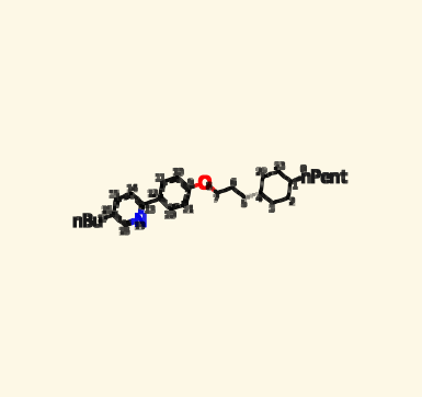 CCCCC[C@H]1CC[C@H](CCCOc2ccc(-c3ccc(CCCC)cn3)cc2)CC1